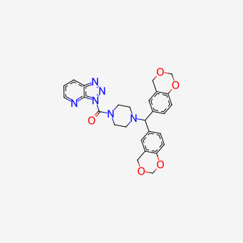 O=C(N1CCN(C(c2ccc3c(c2)COCO3)c2ccc3c(c2)COCO3)CC1)n1nnc2cccnc21